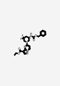 CCOC(=O)c1cnn2ccc(N3C[C@H](NC(=O)OCc4ccccc4)CC(F)(F)C3)nc12